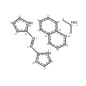 CCC.Cl.c1c[nH]c(N=Nc2ncc[nH]2)n1.c1ccc2ncccc2c1